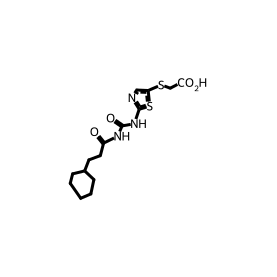 O=C(O)CSc1cnc(NC(=O)NC(=O)CCC2CCCCC2)s1